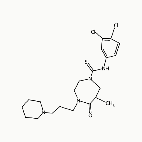 CC1CN(C(=S)Nc2ccc(Cl)c(Cl)c2)CCN(CCCN2CCCCC2)C1=O